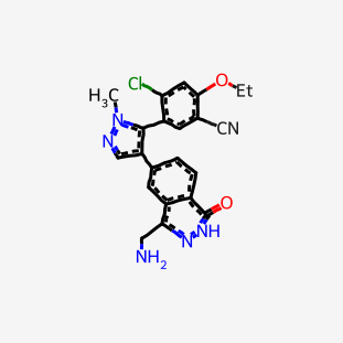 CCOc1cc(Cl)c(-c2c(-c3ccc4c(=O)[nH]nc(CN)c4c3)cnn2C)cc1C#N